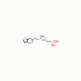 NC(CCCCB(O)O)CCN1CCc2ccsc2C1